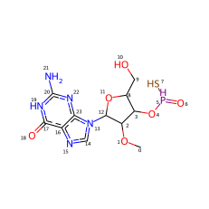 COC1C(O[PH](=O)S)C(CO)OC1n1cnc2c(=O)[nH]c(N)nc21